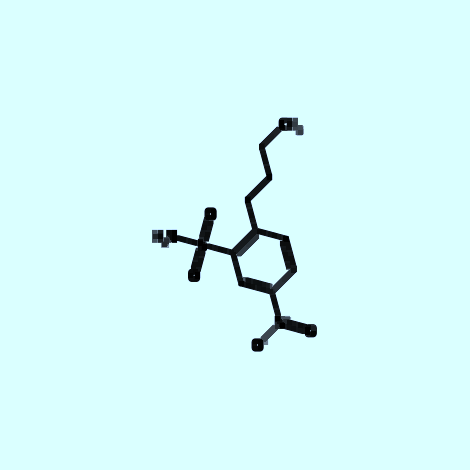 CCCCc1ccc([N+](=O)[O-])cc1S(N)(=O)=O